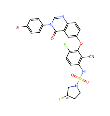 N#Cc1c(NS(=O)(=O)N2CC[C@@H](F)C2)ccc(F)c1Oc1ccc2ncn(-c3ccc(Br)cc3)c(=O)c2c1